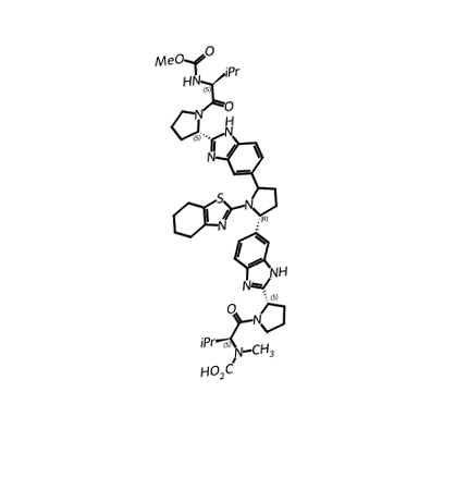 COC(=O)N[C@H](C(=O)N1CCC[C@H]1c1nc2cc(C3CC[C@H](c4ccc5nc([C@@H]6CCCN6C(=O)[C@H](C(C)C)N(C)C(=O)O)[nH]c5c4)N3c3nc4c(s3)CCCC4)ccc2[nH]1)C(C)C